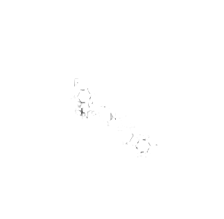 Fc1ccc2c(C3CCN(CCCC4=Cc5ccccc54)CC3)noc2c1